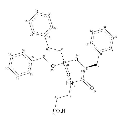 O=C(O)CCNC(=O)[C@H](Cc1ccccc1)OP(=O)(CCc1ccccc1)OCc1ccccc1